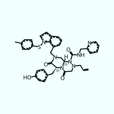 C=CCN1CC(=O)N2[C@@H](Cc3ccc(O)cc3)C(=O)N(Cc3cccc4ccn(Sc5ccc(C)cc5)c34)C[C@@H]2N1C(=O)NCc1ccccn1